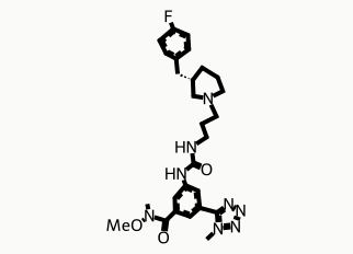 CON(C)C(=O)c1cc(NC(=O)NCCCN2CCC[C@@H](Cc3ccc(F)cc3)C2)cc(-c2nnnn2C)c1